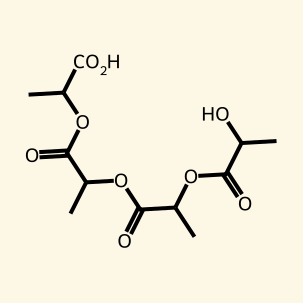 CC(O)C(=O)OC(C)C(=O)OC(C)C(=O)OC(C)C(=O)O